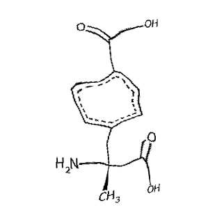 C[C@](N)(C(=O)O)c1ccc(C(=O)O)cc1